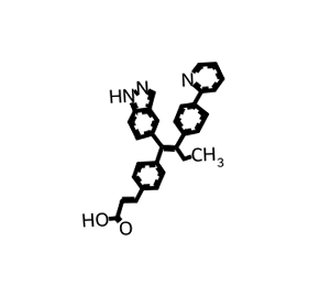 CCC(=C(c1ccc(C=CC(=O)O)cc1)c1ccc2[nH]ncc2c1)c1ccc(-c2ccccn2)cc1